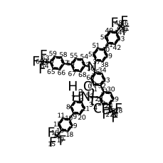 CCC(CC)(Nc1ccc(-c2ccc(C(F)(F)F)cc2)cc1)c1cc(C(F)(F)F)ccc1-c1ccc(N(c2ccc(-c3ccc(C(F)(F)F)cc3)cc2)c2ccc(-c3ccc(C(F)(F)F)cc3)cc2)cc1